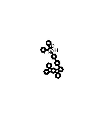 C1=C2C(=CC3c4ccccc4C4(CCCCC4)C13)C1(CCCCC1)c1cccc(-c3ccc(-c4ccc(C5Nc6oc7c(c6C(c6ccccc6)N5)=CCCC=7)cc4)cc3)c12